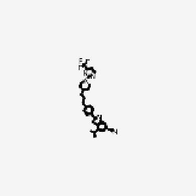 CC(C)c1cc(C#N)cc2c1CC(c1ccc(CCCC3CCN(c4nccc(C(F)(F)F)n4)CC3)cc1)=N2